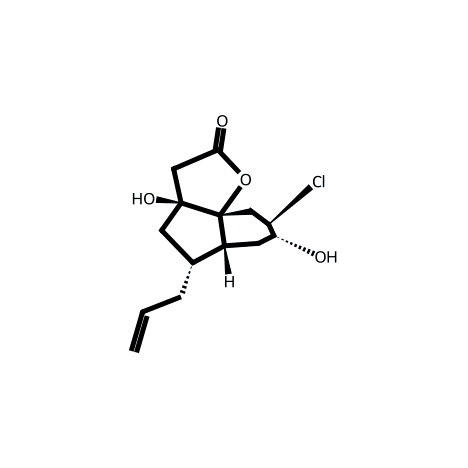 C=CC[C@@H]1C[C@]2(O)CC(=O)O[C@@]23C[C@@H](Cl)[C@H](O)C[C@H]13